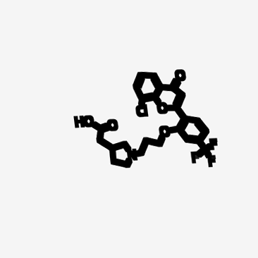 O=C(O)CC1CCN(CCCOc2cc(C(F)(F)F)ccc2-c2cc(=O)c3cccc(Cl)c3o2)C1